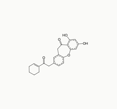 O=C(Cc1ccc2c(c1)CC(=O)c1c(O)cc(O)cc1O2)C1=CCCCC1